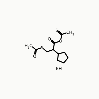 CC(=O)SCC(C(=O)OC(C)=S)C1CCCC1.[KH]